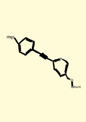 CCCCCCCc1ccc(C#Cc2ccc(OCCCCC)cn2)cc1